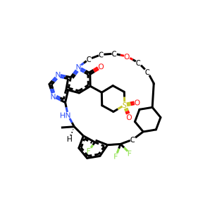 C[C@H]1Nc2ncnc3c2cc(C2CCS(=O)(=O)CC2)c(=O)n3CCCOCCCC2CCC(CC2)CC(F)(F)c2cccc1c2F